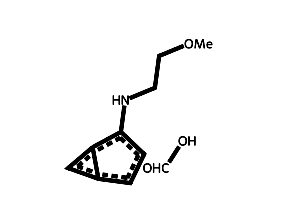 COCCNc1ccc2cc1-2.O=CO